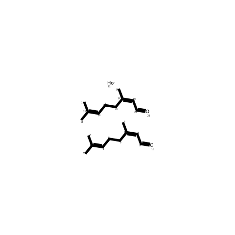 CC(C)=CCC/C(C)=C\C=O.CC(C)=CCC/C(C)=C\C=O.[Ho]